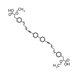 CCOC(Cc1ccc(SC/C=C/C#Cc2ccc(-c3ccc(C#C/C=C/CSc4ccc(CC(OCC)C(=O)O)cc4)cc3)cc2)cc1)C(=O)O